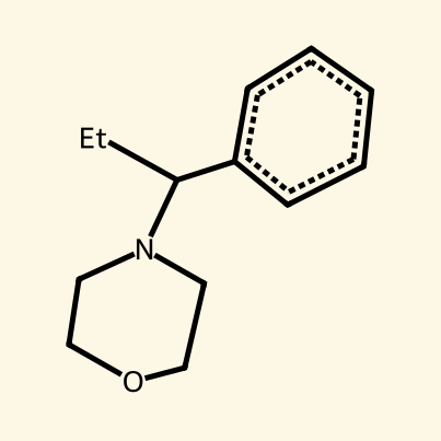 CCC(c1ccccc1)N1CCOCC1